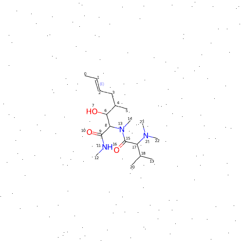 C/C=C/CC(C)C(O)C(C(=O)NC)N(C)C(=O)C(C(C)C)N(C)C